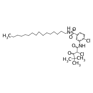 CCCCCCCCCCCCCCCCNS(=O)(=O)c1ccc(Cl)c(NC(=O)C(Cl)C(=O)C(C)(C)C)c1